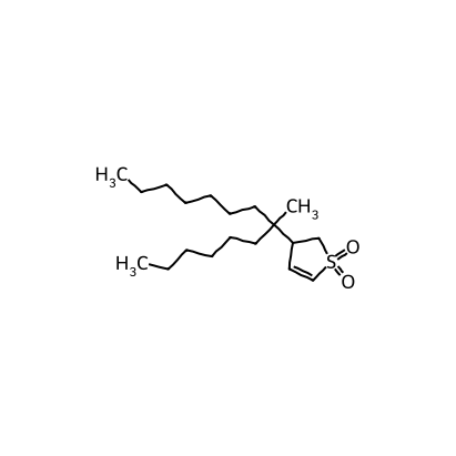 CCCCCCCC(C)(CCCCCC)C1C=CS(=O)(=O)C1